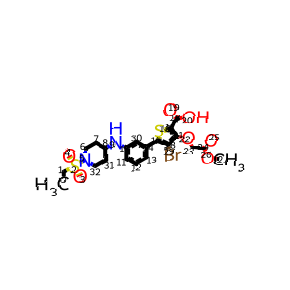 CCS(=O)(=O)N1CCC(Nc2cccc(-c3sc(C(=O)O)c(OCC(=O)OC)c3Br)c2)CC1